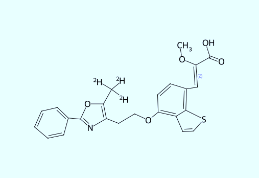 [2H]C([2H])([2H])c1oc(-c2ccccc2)nc1CCOc1ccc(/C=C(\OC)C(=O)O)c2sccc12